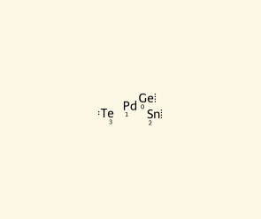 [Ge].[Pd].[Sn].[Te]